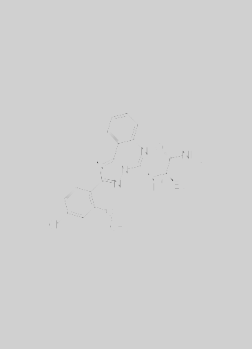 CC[C@@H](Nc1nc2ccccc2c2nc(-c3ccc(Cl)cc3OC(F)(F)F)nn12)C(N)=O